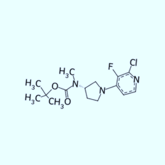 CN(C(=O)OC(C)(C)C)[C@H]1CCN(c2ccnc(Cl)c2F)C1